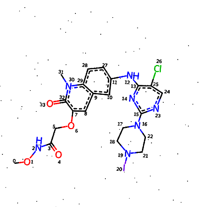 CONC(=O)COc1cc2cc(Nc3nc(N4CCN(I)CC4)ncc3Cl)ccc2n(C)c1=O